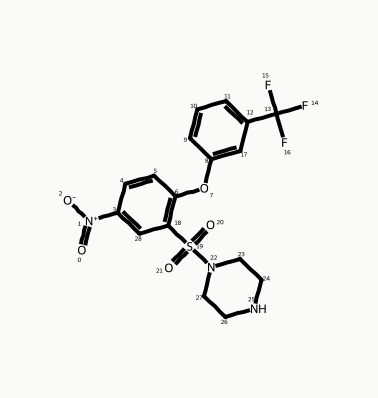 O=[N+]([O-])c1ccc(Oc2cccc(C(F)(F)F)c2)c(S(=O)(=O)N2CCNCC2)c1